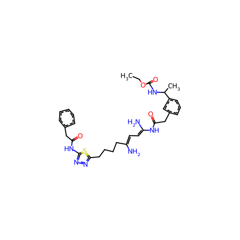 CCOC(=O)NC(C)c1cccc(CC(=O)N/C(N)=C/C=C(\N)CCCCc2nnc(NC(=O)Cc3ccccc3)s2)c1